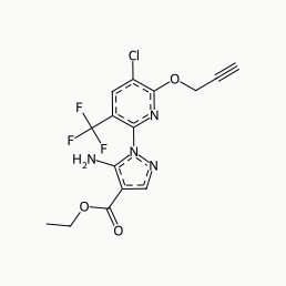 C#CCOc1nc(-n2ncc(C(=O)OCC)c2N)c(C(F)(F)F)cc1Cl